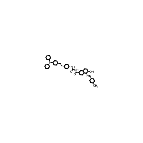 Cc1ccc(N=Nc2c(O)ccc3cc(C(=O)NC(=O)Nc4ccc(CCc5ccc(N(c6ccccc6)c6ccccc6)cc5)cc4)ccc23)cc1